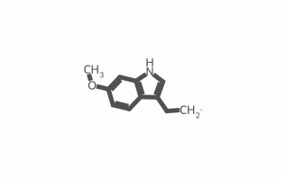 [CH2]Cc1c[nH]c2cc(OC)ccc12